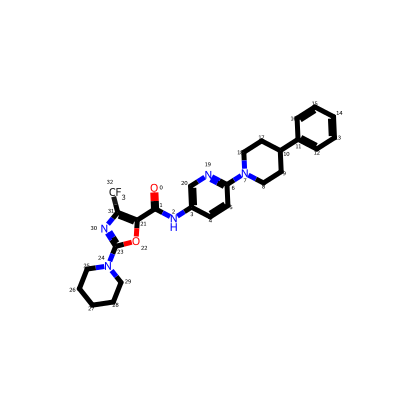 O=C(Nc1ccc(N2CCC(c3ccccc3)CC2)nc1)c1oc(N2CCCCC2)nc1C(F)(F)F